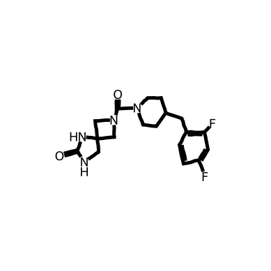 O=C1NCC2(CN(C(=O)N3CCC(Cc4ccc(F)cc4F)CC3)C2)N1